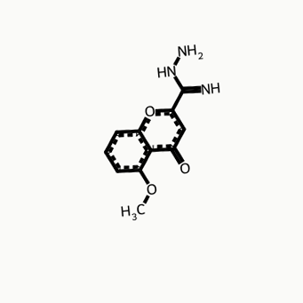 COc1cccc2oc(C(=N)NN)cc(=O)c12